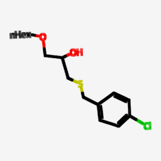 CCCCCCOCC(O)CSCc1ccc(Cl)cc1